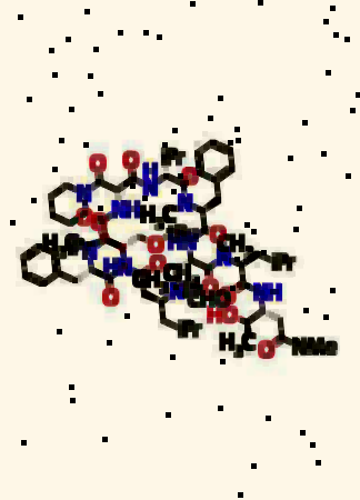 CNC(=O)C[C@@H](NC(=O)[C@H](CC(C)C)N(C)C(=O)[C@H](CC(C)C)NC(=O)[C@H](Cc1ccccc1)N(C)C(=O)[C@H](NC(=O)[C@H](NC(=O)[C@@H](CN(C)C(=O)[C@H](Cc1ccccc1)N(C)C(=O)[C@H](COC(C)(C)C)NC(=O)C[C@H](CC(C)C)N(C)C=O)C(C)C)C(=O)N1CCCCC1)C(C)C)[C@@H](C)O